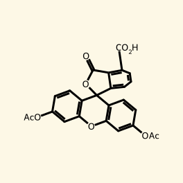 CC(=O)Oc1ccc2c(c1)Oc1cc(OC(C)=O)ccc1C21OC(=O)c2c(C(=O)O)cccc21